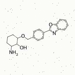 NC1CCCC(OCc2ccc(-c3nc4ccccc4o3)cc2)C1O